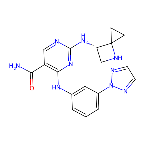 NC(=O)c1cnc(N[C@H]2CNC23CC3)nc1Nc1cccc(-n2nccn2)c1